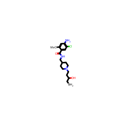 BCC(O)CCN1CCC(CNC(=O)c2cc(Cl)c(N)cc2OC)CC1